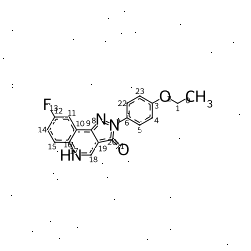 CCOc1ccc(-n2nc3c4cc(F)ccc4[nH]cc-3c2=O)cc1